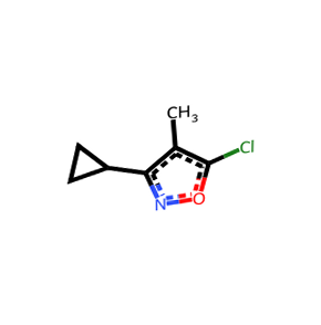 Cc1c(C2CC2)noc1Cl